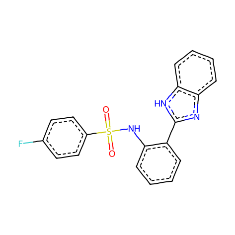 O=S(=O)(Nc1ccccc1-c1nc2ccccc2[nH]1)c1ccc(F)cc1